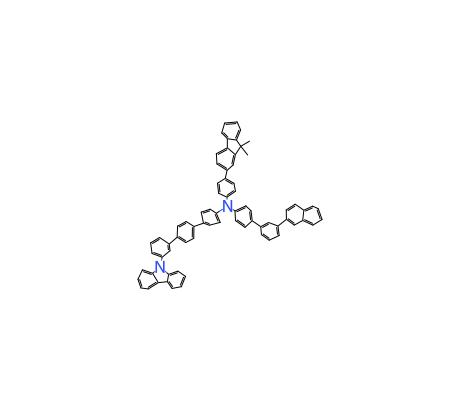 CC1(C)c2ccccc2-c2ccc(-c3ccc(N(c4ccc(-c5ccc(-c6cccc(-n7c8ccccc8c8ccccc87)c6)cc5)cc4)c4ccc(-c5cccc(-c6ccc7ccccc7c6)c5)cc4)cc3)cc21